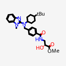 COC(=O)[C@H](O)CNC(=O)c1ccc(CN(c2nc3ccccc3n2C)C2CCC(C(C)(C)C)CC2)cc1